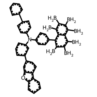 Bc1c(B)c(B)c2c(-c3ccc(N(c4ccc(-c5ccccc5)cc4)c4cccc(-c5ccc6c(c5)oc5ccccc56)c4)cc3)c(B)c(B)c(B)c2c1B